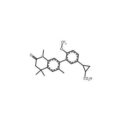 Cc1cc2c(cc1-c1cc(C3CC3C(=O)O)ccc1OC(F)(F)F)N(C)C(=O)CC2(C)C